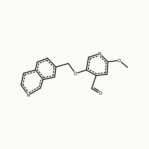 COc1cc(C=O)c(OCc2ccc3ccncc3c2)cn1